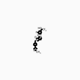 CN1CC(c2ccc(CN3Cc4ccnc(Oc5ccc(C(O)C(F)(F)F)cc5F)c4C3=O)cc2)C=N1